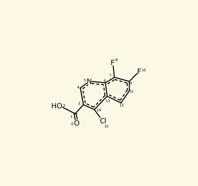 O=C(O)c1cnc2c(F)c(F)ccc2c1Cl